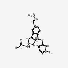 CON=Cc1ccc2c(c1)c1c(n2Cc2cccc(F)n2)CC(NC(=O)C(C)C)C1